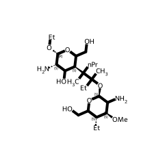 CCCC(C)([C@@H]1C(CO)O[C@@H](OCC)[C@@H](N)C1O)C(C)(CC)O[C@@H]1OC(CO)[C@@H](CC)[C@H](OC)C1N